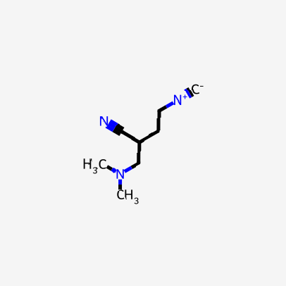 [C-]#[N+]CCC(C#N)CN(C)C